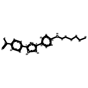 C=C(C)c1ccc(-c2nc(-c3ccc(OCCCCCC)cc3)no2)cc1